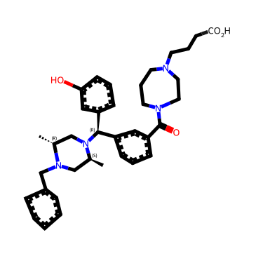 C[C@@H]1CN([C@@H](c2cccc(O)c2)c2cccc(C(=O)N3CCCN(CCCC(=O)O)CC3)c2)[C@@H](C)CN1Cc1ccccc1